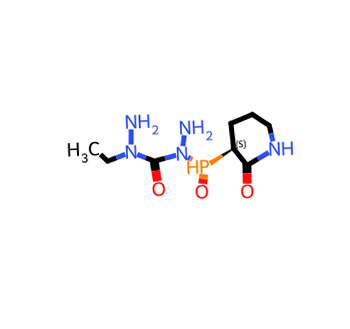 CCN(N)C(=O)N(N)[PH](=O)[C@H]1CCCNC1=O